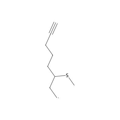 C#CCCCC(C[CH2])SC